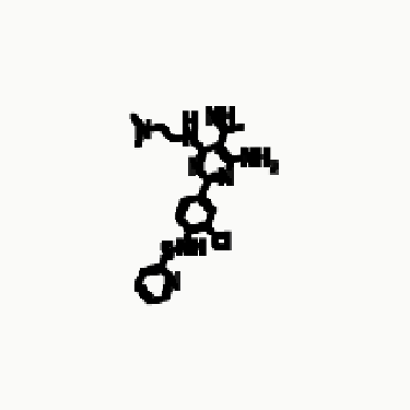 CC(=N)c1c(N)nc(-c2ccc(NSc3ccccn3)c(Cl)c2)nc1NCCN(C)C